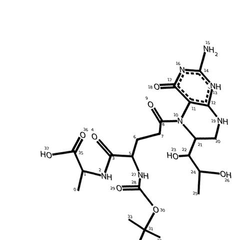 CC(NC(=O)C(CCC(=O)N1c2c([nH]c(N)nc2=O)NCC1C(O)C(C)O)NC(=O)OC(C)(C)C)C(=O)O